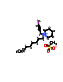 CCCCCCCCCCCCCCCC[N+]1(CC#CI)CCCCC1.CS(=O)(=O)[O-]